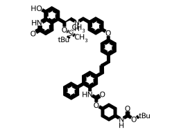 CC(C)(C)OC(=O)NC1CCC(OC(=O)Nc2cc(/C=C/Cc3ccc(Oc4ccc(CNC[C@@H](O[Si](C)(C)C(C)(C)C)c5ccc(O)c6[nH]c(=O)ccc56)cc4)cc3)ccc2-c2ccccc2)CC1